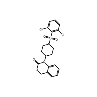 O=C1OCc2ccccc2N1C1CCN(S(=O)(=O)c2c(Cl)cccc2Cl)CC1